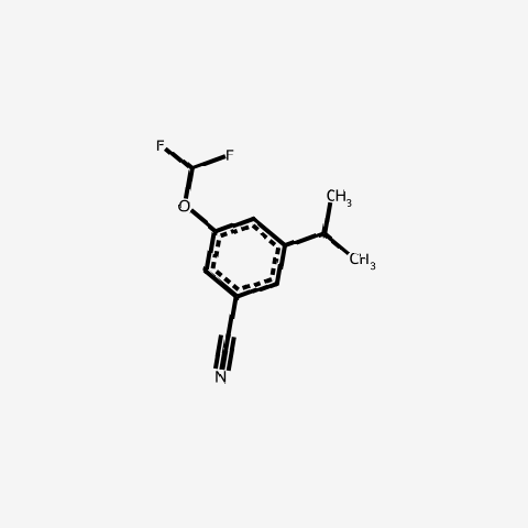 C[C](C)c1cc(C#N)cc(OC(F)F)c1